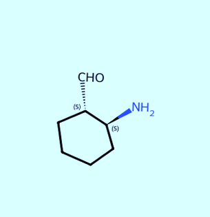 N[C@H]1CCCC[C@@H]1C=O